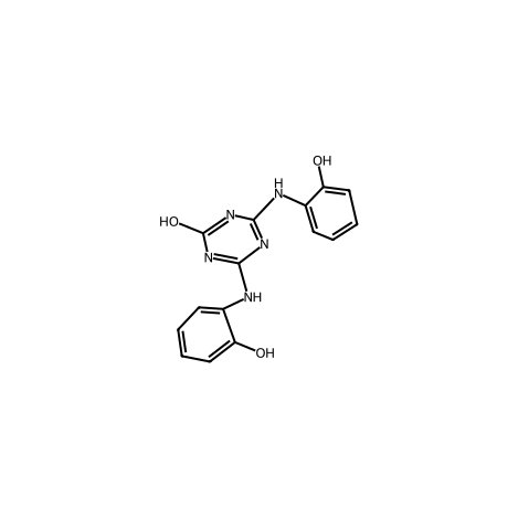 Oc1nc(Nc2ccccc2O)nc(Nc2ccccc2O)n1